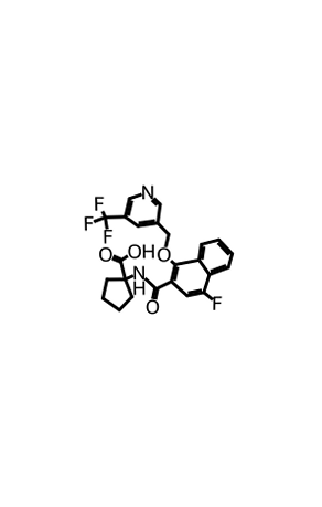 O=C(NC1(C(=O)O)CCCC1)c1cc(F)c2ccccc2c1OCc1cncc(C(F)(F)F)c1